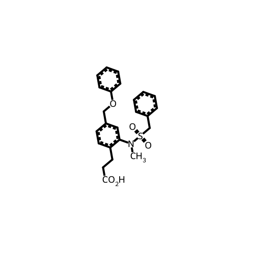 CN(c1cc(COc2ccccc2)ccc1CCC(=O)O)S(=O)(=O)Cc1ccccc1